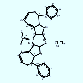 CC1CC2C(=CC=CCC2c2ccccc2)[CH]1[Ti+2]([CH]1C2=CC=CCC(c3ccccc3)C2CC1C)=[Si](C)C.[Cl-].[Cl-]